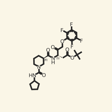 CC(C)(C)OC(=O)C[C@H](NC(=O)[C@@H]1CCCN(C(=O)NC2CCCC2)C1)C(=O)COc1c(F)c(F)cc(F)c1F